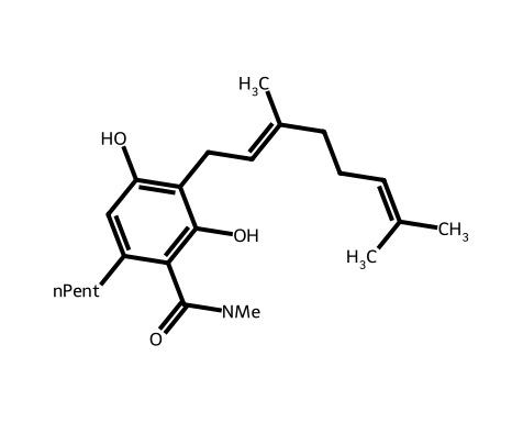 CCCCCc1cc(O)c(C/C=C(\C)CCC=C(C)C)c(O)c1C(=O)NC